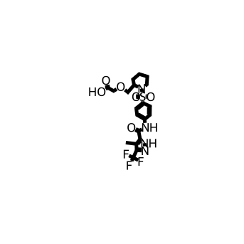 Cc1c(C(F)(F)F)n[nH]c1C(=O)Nc1ccc(S(=O)(=O)N2CCCCC2COCC(=O)O)cc1